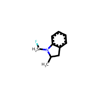 CC1Cc2ccccc2N1[SiH2]F